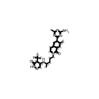 Cc1nc(N)nc(-c2cc3ccn(CCCC(C)Nc4cn[nH]c(=O)c4C(F)(F)F)c(=O)c3cc2F)n1